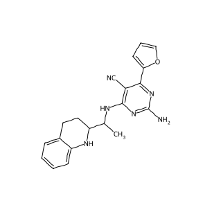 CC(Nc1nc(N)nc(-c2ccco2)c1C#N)C1CCc2ccccc2N1